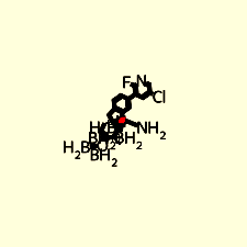 BC(B)(B)O[C@H]1CC[C@@]2(Cc3ccc(-c4cc(Cl)cnc4F)cc3[C@]23N=C(N)OC3(B)B)C[C@@H]1C